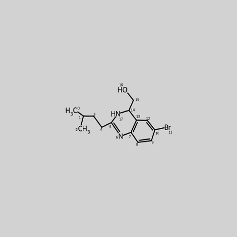 CC(C)CCC1=Nc2ccc(Br)cc2C(CO)N1